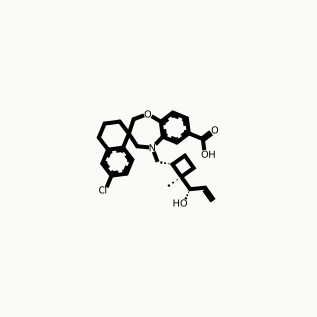 C=C[C@H](O)[C@]1(C)CC[C@H]1CN1CC2(CCCc3cc(Cl)ccc32)COc2ccc(C(=O)O)cc21